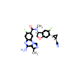 Cc1ncn2c1c(N)nc1cc(F)c(C(=O)N(C)[C@@H]3COc4cc([C@@H]5C[C@H]5C#N)c(F)cc43)cc12